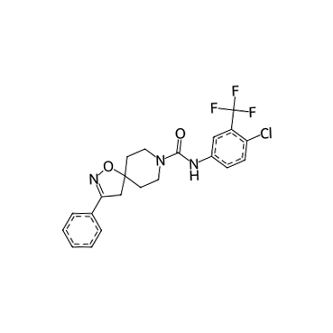 O=C(Nc1ccc(Cl)c(C(F)(F)F)c1)N1CCC2(CC1)CC(c1ccccc1)=NO2